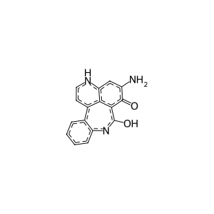 Nc1cc2[nH]ccc3c4ccccc4nc(O)c(c1=O)c23